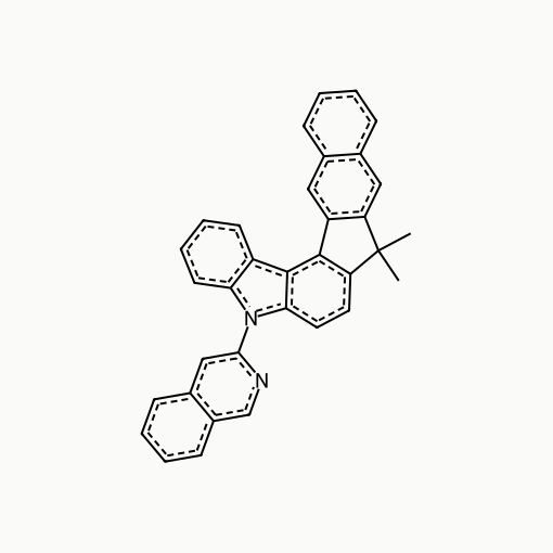 CC1(C)c2cc3ccccc3cc2-c2c1ccc1c2c2ccccc2n1-c1cc2ccccc2cn1